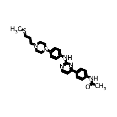 CSCCCN1CCN(c2ccc(Nc3nccc(-c4ccc(NC(C)=O)cc4)n3)cc2)CC1